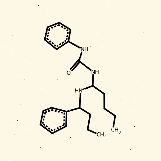 CCCCC(NC(=O)Nc1ccccc1)NC(CCC)c1ccccc1